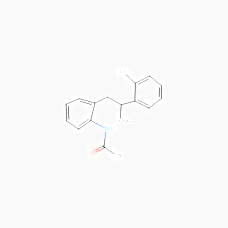 CCc1ccccc1C(Cc1ccccc1NC(=O)C(C)(C)C)NC